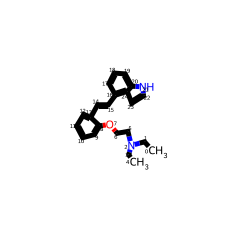 CCN(CC)CCOc1ccccc1C=Cc1cccc2[nH]ccc12